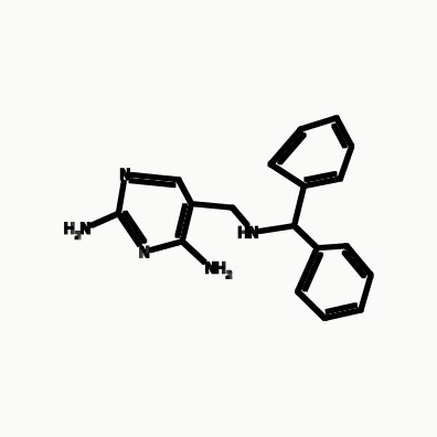 Nc1ncc(CNC(c2ccccc2)c2ccccc2)c(N)n1